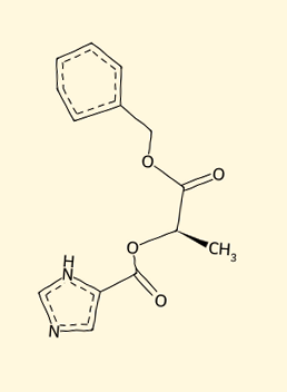 C[C@@H](OC(=O)c1cnc[nH]1)C(=O)OCc1ccccc1